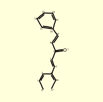 C\C=C/C(/C=C/C(=O)/C=C/c1ccccc1)=C\C